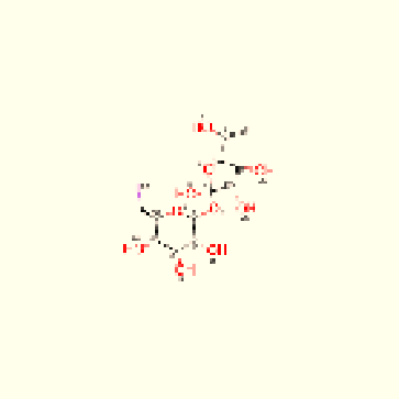 C=C(O)[C@H]1O[C@@](O)(OC2O[C@H](CI)[C@@H](O)[C@H](O)[C@H]2O)[C@@H](O)[C@@H]1O